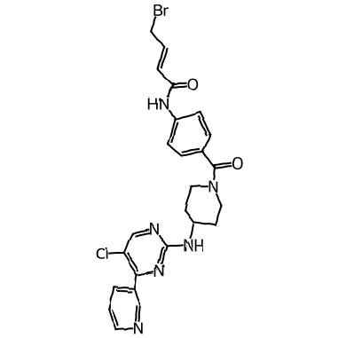 O=C(C=CCBr)Nc1ccc(C(=O)N2CCC(Nc3ncc(Cl)c(-c4cccnc4)n3)CC2)cc1